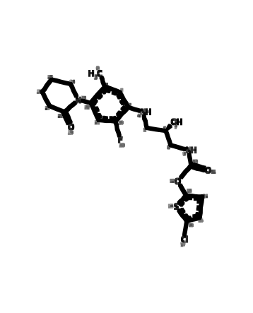 Cc1cc(NC[C@@H](O)CNC(=O)Oc2ccc(Cl)s2)c(F)cc1N1CCCCC1=O